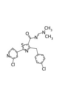 CN(C)C=NC(=O)c1sc(-c2ccnc(Cl)c2)nc1Cc1ccc(Cl)cc1